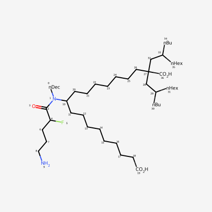 CCCCCCCCCCN(C(=O)C(F)CCCN)C(CCCCCCCCC(=O)O)CCCCCCCC(CC(CCCC)CCCCCC)(CC(CCCC)CCCCCC)C(=O)O